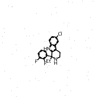 CCC1(c2cccc(F)c2F)NCCc2c1[nH]c1ccc(Cl)cc21